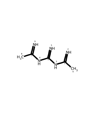 CC(=N)NC(=N)NC(C)=N